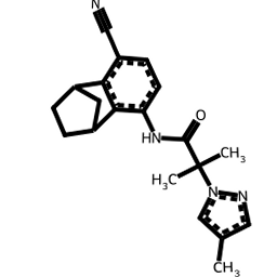 Cc1cnn(C(C)(C)C(=O)Nc2ccc(C#N)c3c2C2CCC3C2)c1